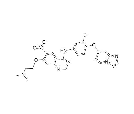 CN(C)CCOc1cc2ncnc(Nc3ccc(Oc4ccn5ncnc5c4)c(Cl)c3)c2cc1[N+](=O)[O-]